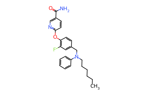 CCCCCCN(Cc1ccc(Oc2ccc(C(N)=O)cn2)c(F)c1)c1ccccc1